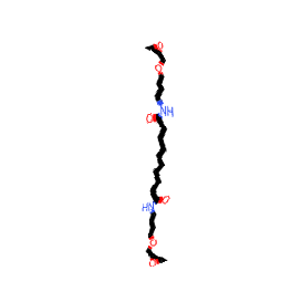 O=C(CCCCCCCCC(=O)NCCCCOCC1CO1)NCCCCOCC1CO1